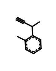 [C]#CC(C)c1ccccc1C